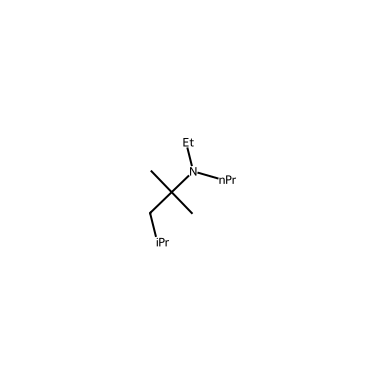 CCCN(CC)C(C)(C)CC(C)C